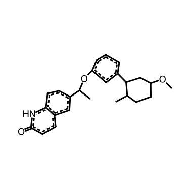 COC1CCC(C)C(c2cccc(OC(C)c3ccc4[nH]c(=O)ccc4c3)c2)C1